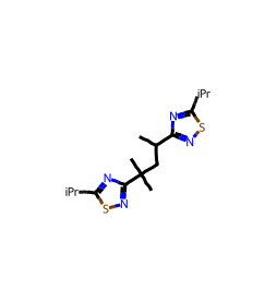 CC(C)c1nc(C(C)CC(C)(C)c2nsc(C(C)C)n2)ns1